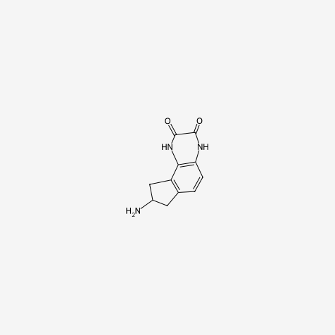 NC1Cc2ccc3[nH]c(=O)c(=O)[nH]c3c2C1